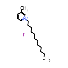 CCCCCCCCCCCC[n+]1cccc(C)c1.[I-]